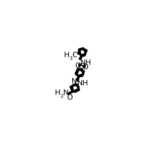 Cc1ccccc1CNS(=O)(=O)c1ccc(-c2nc3cc(C(N)=O)ccc3[nH]2)cc1